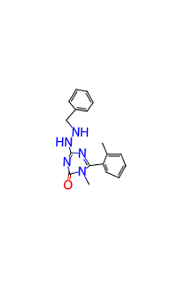 Cc1ccccc1-c1nc(NNCc2ccccc2)nc(=O)n1C